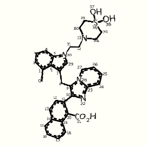 Cc1cccc2c1c(Cc1c(-c3ccc4ccccc4c3C(=O)O)nc3ccccn13)cn2CCN1CCS(O)(O)CC1